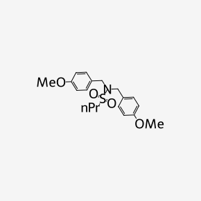 CCCS(=O)(=O)N(Cc1ccc(OC)cc1)Cc1ccc(OC)cc1